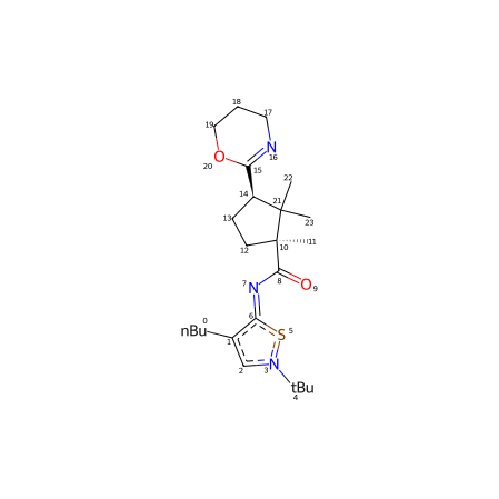 CCCCc1cn(C(C)(C)C)s/c1=N\C(=O)[C@@]1(C)CC[C@@H](C2=NCCCO2)C1(C)C